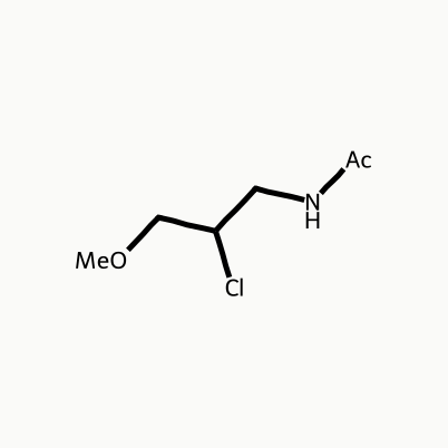 COCC(Cl)CNC(C)=O